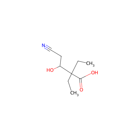 CCC(CC)(C(=O)O)C(O)CC#N